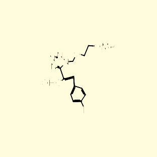 COCCOCn1nnnc1C(C=O)=Cc1ccc(F)cc1